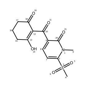 Cn1c(S(C)(=O)=O)ccc(C(=O)C2=C(O)CCCC2=O)c1=O